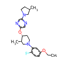 CCOc1ccc(F)c(N2CC[C@@H](Oc3cnc(N4CCC(C)C4)cn3)[C@H](C)C2)c1